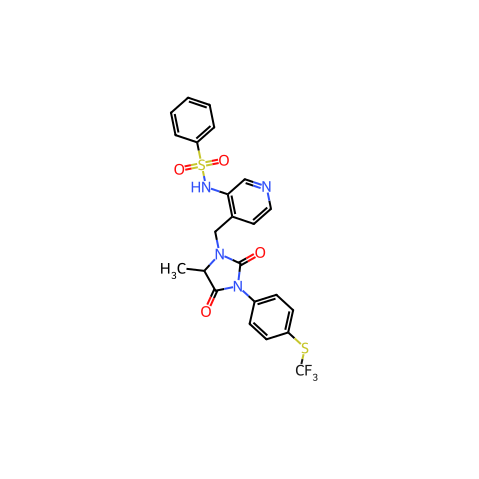 CC1C(=O)N(c2ccc(SC(F)(F)F)cc2)C(=O)N1Cc1ccncc1NS(=O)(=O)c1ccccc1